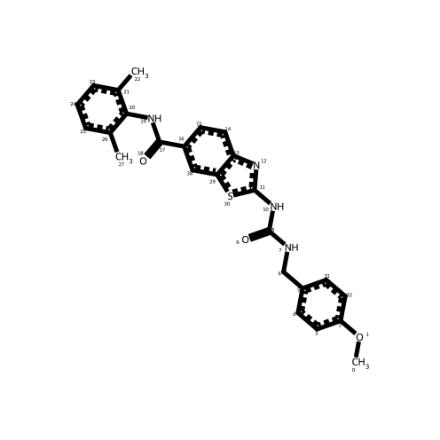 COc1ccc(CNC(=O)Nc2nc3ccc(C(=O)Nc4c(C)cccc4C)cc3s2)cc1